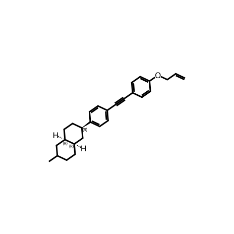 C=CCOc1ccc(C#Cc2ccc([C@@H]3CC[C@@H]4CC(C)CC[C@@H]4C3)cc2)cc1